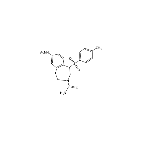 CC(=O)Nc1ccc2c(c1)CCN(C(N)=O)CC2S(=O)(=O)c1ccc(C)cc1